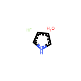 F.O.c1cc[nH]c1